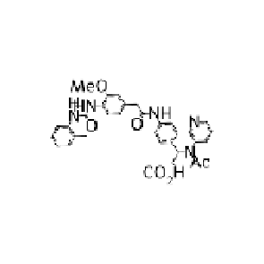 COc1cc(CC(=O)Nc2ccc(C(CC(=O)O)N(C(C)=O)c3cccnc3)cc2)ccc1NC(=O)Nc1ccccc1C